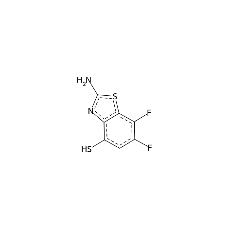 Nc1nc2c(S)cc(F)c(F)c2s1